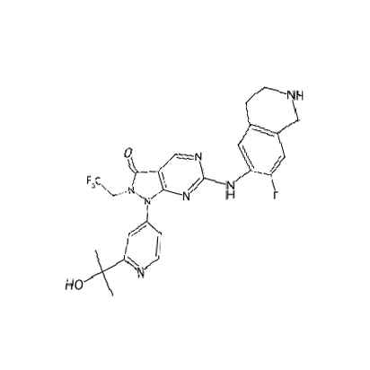 CC(C)(O)c1cc(-n2c3nc(Nc4cc5c(cc4F)CNCC5)ncc3c(=O)n2CC(F)(F)F)ccn1